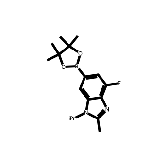 Cc1nc2c(F)cc(B3OC(C)(C)C(C)(C)O3)cc2n1C(C)C